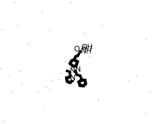 CC(c1ccccn1)n1c(CCc2ccccc2)nc2cc(C=CC(=O)NO)ccc21